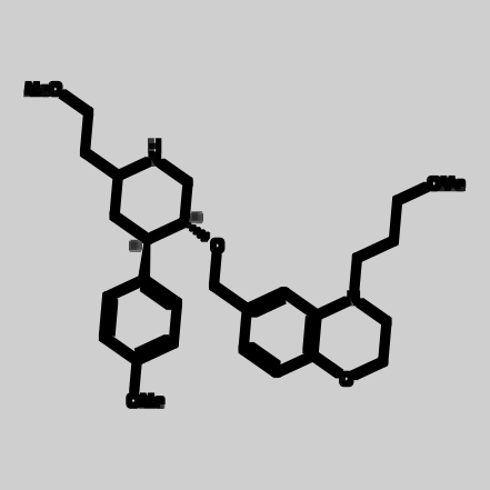 COCCCN1CCOc2ccc(CO[C@H]3CNC(CCOC)C[C@@H]3c3ccc(OC)cc3)cc21